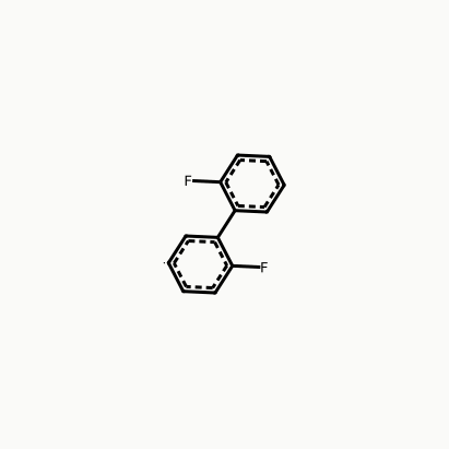 Fc1cc[c]cc1-c1ccccc1F